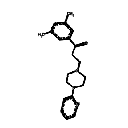 Cc1cc(C)cc(C(=O)CCN2CCN(c3ccccn3)CC2)c1